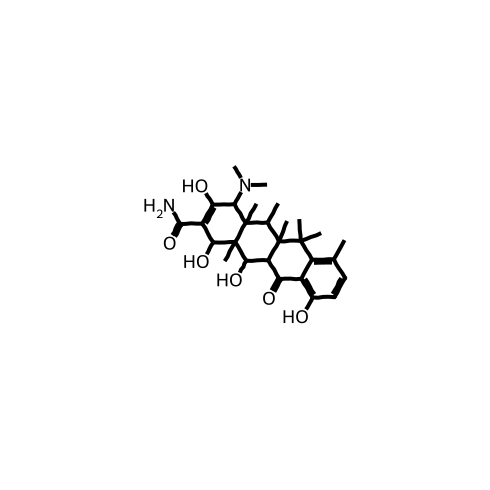 Cc1ccc(O)c2c1C(C)(C)C1(C)C(C2=O)C(O)C2(C)C(O)C(C(N)=O)=C(O)C(N(C)C)C2(C)C1C